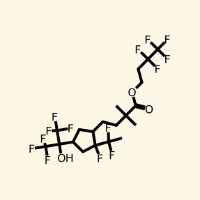 CC(C)(CCC1CC(C(O)(C(F)(F)F)C(F)(F)F)CC1(F)C(C)(F)F)C(=O)OCCC(F)(F)C(F)(F)F